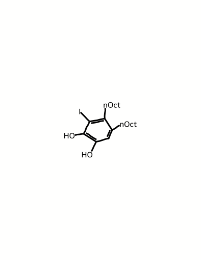 CCCCCCCCc1cc(O)c(O)c(I)c1CCCCCCCC